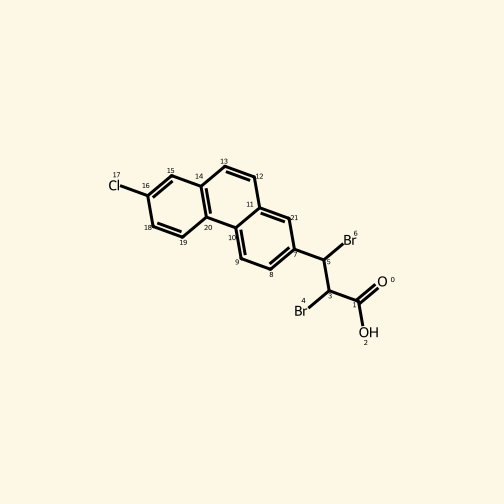 O=C(O)C(Br)C(Br)c1ccc2c(ccc3cc(Cl)ccc32)c1